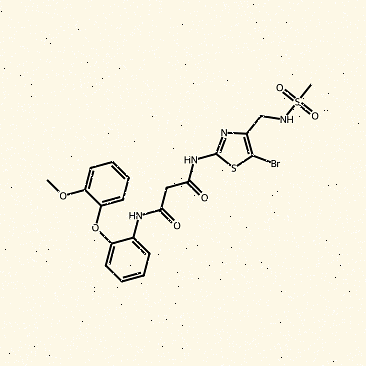 COc1ccccc1Oc1ccccc1NC(=O)CC(=O)Nc1nc(CNS(C)(=O)=O)c(Br)s1